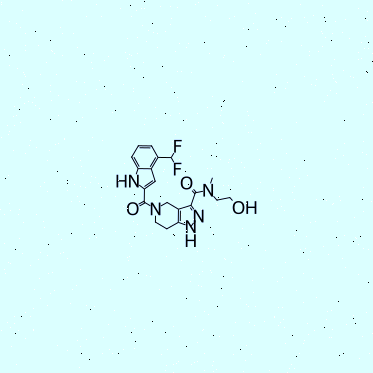 CN(CCO)C(=O)c1n[nH]c2c1CN(C(=O)c1cc3c(C(F)F)cccc3[nH]1)CC2